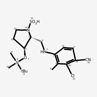 Cc1c(NC[C@@H]2[C@@H](O[Si](C)(C)C(C)(C)C)CCN2S(=O)(=O)O)ccc(C#N)c1Cl